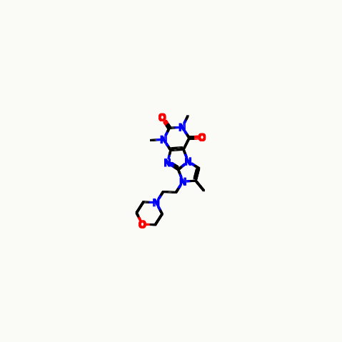 Cc1cn2c3c(=O)n(C)c(=O)n(C)c3nc2n1CCN1CCOCC1